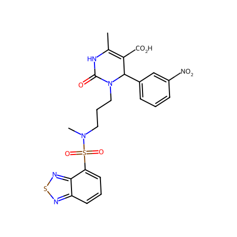 CC1=C(C(=O)O)C(c2cccc([N+](=O)[O-])c2)N(CCCN(C)S(=O)(=O)c2cccc3nsnc23)C(=O)N1